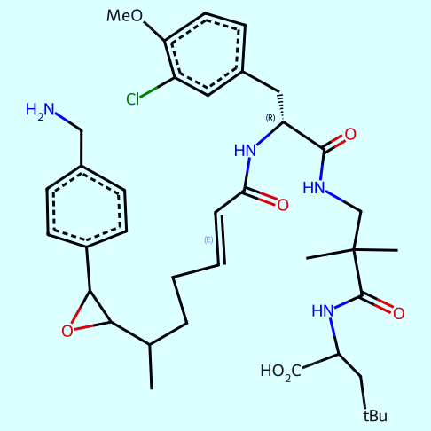 COc1ccc(C[C@@H](NC(=O)/C=C/CCC(C)C2OC2c2ccc(CN)cc2)C(=O)NCC(C)(C)C(=O)NC(CC(C)(C)C)C(=O)O)cc1Cl